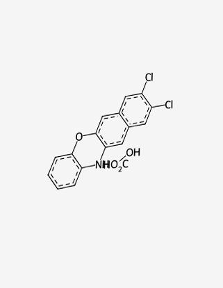 Clc1cc2cc3c(cc2cc1Cl)Oc1ccccc1N3.O=C(O)O